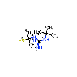 CC(C)(C)NC(=N)NC(C)(C)S